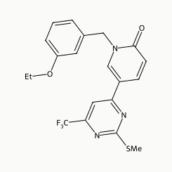 CCOc1cccc(Cn2cc(-c3cc(C(F)(F)F)nc(SC)n3)ccc2=O)c1